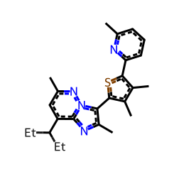 CCC(CC)c1cc(C)nn2c(-c3sc(-c4cccc(C)n4)c(C)c3C)c(C)nc12